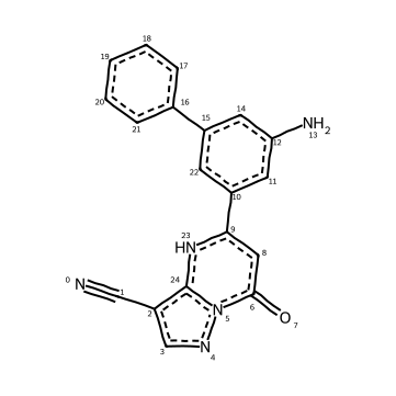 N#Cc1cnn2c(=O)cc(-c3cc(N)cc(-c4ccccc4)c3)[nH]c12